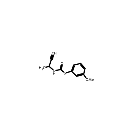 C#CC(C)NC(=O)Sc1cccc(OC)c1